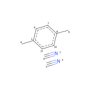 C#N.C#N.Cc1ccc(C)cc1